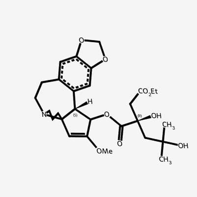 CCOC(=O)C[C@](O)(CC(C)(C)O)C(=O)OC1C(OC)=CC23CCCN2CCc2cc4c(cc2[C@H]13)OCO4